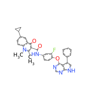 Cc1c(C(=O)Nc2ccc(Oc3ncnc4[nH]cc(-c5ccccc5)c34)c(F)c2)c(=O)c2cc(C3CC3)ccc2n1C